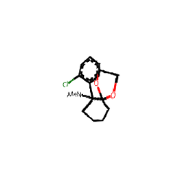 CNC1(c2ccccc2Cl)CCCCC12OCCO2